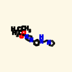 CC(C)(C)OC(=O)N1CCN(c2cccc(NCCN3CCCC3)c2)CC1